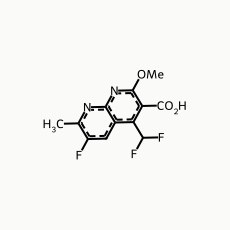 COc1nc2nc(C)c(F)cc2c(C(F)F)c1C(=O)O